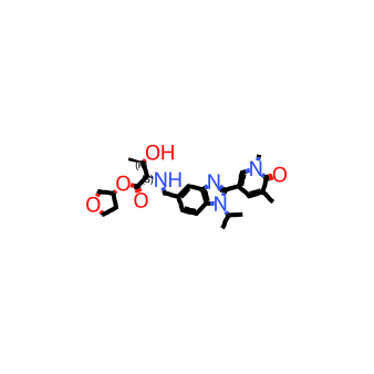 Cc1cc(-c2nc3cc(CN[C@H](C(=O)OC4CCOC4)[C@@H](C)O)ccc3n2C(C)C)cn(C)c1=O